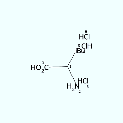 CCC(C)C(N)C(=O)O.Cl.Cl.Cl